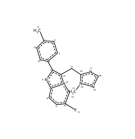 Cc1ccc(-c2nc3ccc(F)cn3c2Cc2ncnn2C)cc1